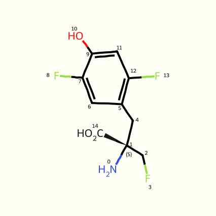 N[C@@](CF)(Cc1cc(F)c(O)cc1F)C(=O)O